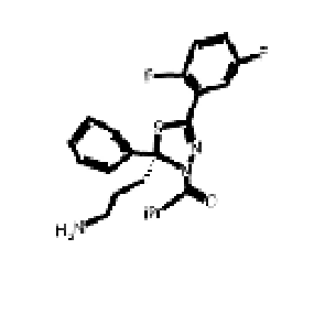 CC(C)C(=O)N1N=C(c2cc(F)ccc2F)S[C@]1(CCCN)c1ccccc1